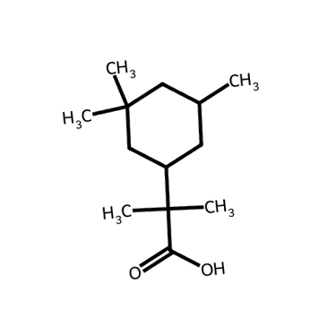 CC1CC(C(C)(C)C(=O)O)CC(C)(C)C1